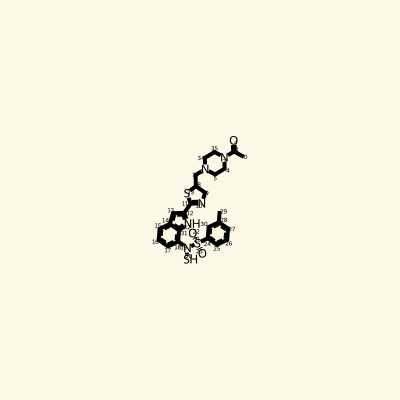 CC(=O)N1CCN(CC2CN=C(c3cc4cccc(N(S)S(=O)(=O)c5cccc(C)c5)c4[nH]3)S2)CC1